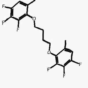 Cc1cc(F)c(F)c(F)c1OCCCCOc1c(C)cc(F)c(F)c1F